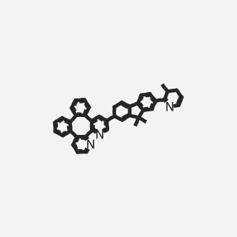 CC1CC=CN=C1c1ccc2c(c1)C(C)(C)C1=CC(c3cnc4c(c3)-c3ccccc3-c3ccccc3-c3cccnc3-4)CC=C12